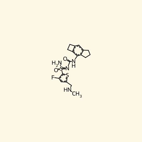 CNCc1cc(F)c([S@](N)(=O)=NC(=O)Nc2c3c(cc4c2CC4)CCC3)s1